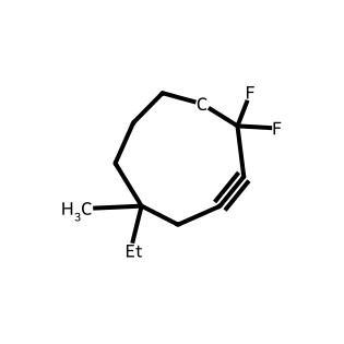 CCC1(C)CC#CC(F)(F)CCCC1